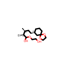 CC[C@H](C(O)OCCO)[C@@H](C)CC[C@H]1CCCC2(C1)OCCO2